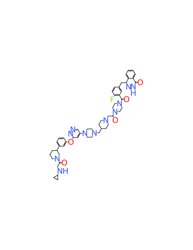 O=C(CN1CCC(CN2CCN(c3cnnc(Oc4cccc(C5CCCN(C(=O)CNC6CC6)C5)c4)c3)CC2)CC1)N1CCN(C(=O)c2cc(Cc3n[nH]c(=O)c4ccccc34)ccc2F)CC1